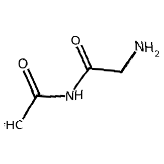 [CH]C(=O)NC(=O)CN